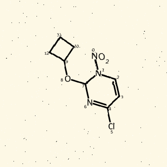 O=[N+]([O-])N1C=CC(Cl)=NC1OC1CCC1